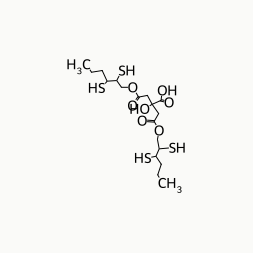 CCCC(S)C(S)COC(=O)CC(O)(CC(=O)OCC(S)C(S)CCC)C(=O)O